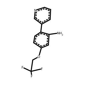 Nc1cc(OCC(F)(F)F)ccc1-c1cccnc1